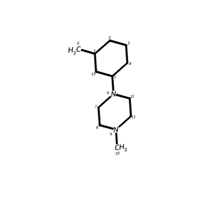 CC1[CH]CCC(N2CCN(C)CC2)C1